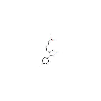 CN1CC(/C=C\CCC(=O)O)C(c2ccc(F)cc2)C1